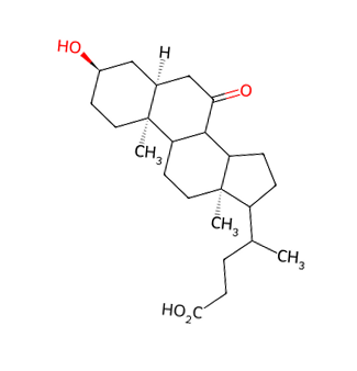 CC(CCC(=O)O)C1CCC2C3C(=O)C[C@@H]4C[C@H](O)CC[C@]4(C)C3CC[C@]12C